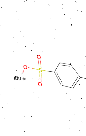 CC[C@@H](C)OS(=O)(=O)c1ccc(C)cc1